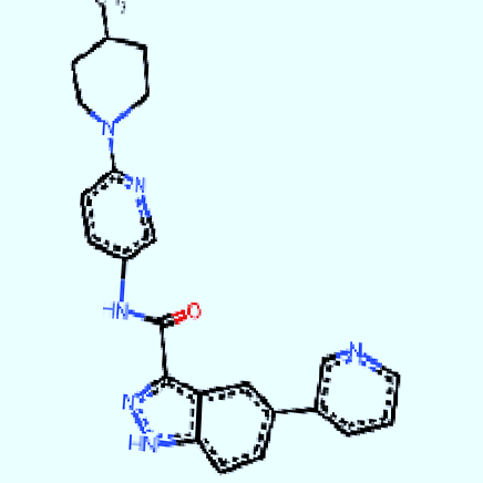 CC1CCN(c2ccc(NC(=O)c3n[nH]c4ccc(-c5cccnc5)cc34)cn2)CC1